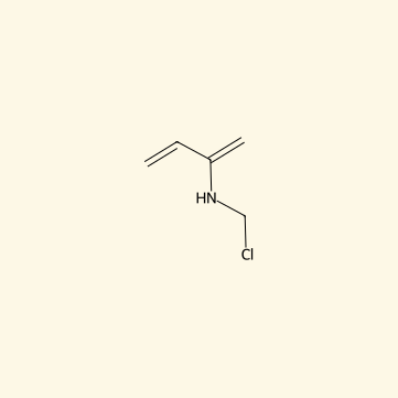 C=CC(=C)NCCl